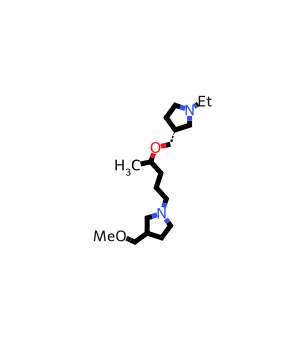 CCN1CC[C@@H](COC(C)CCCN2CCC(COC)C2)C1